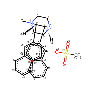 C[N+]12CCN(CC1)[C@@H](c1ccc3ccccc3c1)[C@@H]2c1ccc2ccccc2c1.O=S(=O)([O-])C(F)(F)F